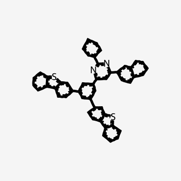 c1ccc(-c2nc(-c3cc(-c4ccc5c(c4)sc4ccccc45)cc(-c4ccc5c(c4)sc4ccccc45)c3)cc(-c3ccc4ccccc4c3)n2)cc1